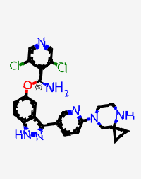 N[C@@H](Oc1ccc2[nH]nc(-c3ccc(N4CCNC5(CC5)C4)nc3)c2c1)c1c(Cl)cncc1Cl